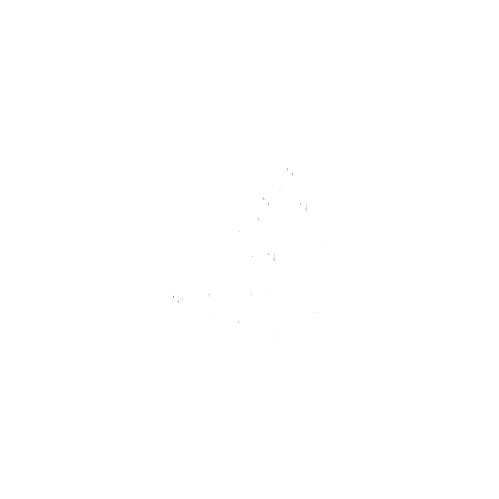 Cc1ccc(OCC#N)cc1Cn1ccc2nc(N)nc(Cl)c21